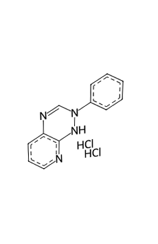 C1=Nc2cccnc2NN1c1ccccc1.Cl.Cl